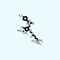 CS(=O)(=O)O.C[N+](C)(C)CCCC(=O)OCOc1ccc(Cl)cc1Cn1nc(-c2ccc(C(F)(F)F)cc2)oc1=O